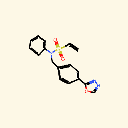 C=CS(=O)(=O)N(Cc1ccc(-c2nnco2)cc1)c1ccccc1